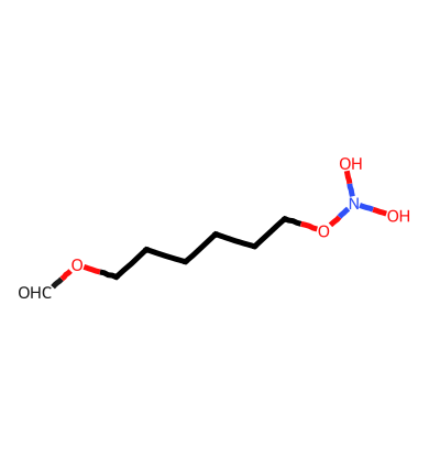 O=COCCCCCCON(O)O